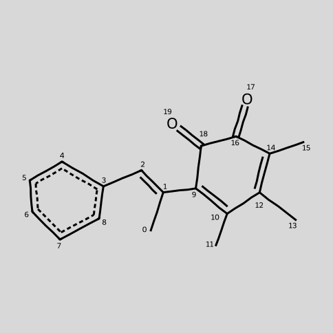 CC(=Cc1ccccc1)C1=C(C)C(C)=C(C)C(=O)C1=O